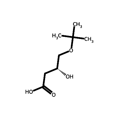 CC(C)(C)OC[C@H](O)CC(=O)O